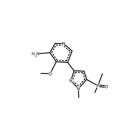 COc1c(N)cncc1-c1cc(P(C)(C)=O)n(C)n1